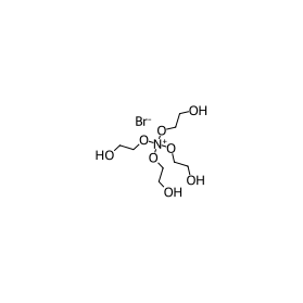 OCCO[N+](OCCO)(OCCO)OCCO.[Br-]